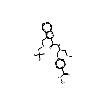 CCCC(NC(=O)c1oc2ccccc2c1COCC(F)(F)F)Oc1ccc(C(=O)NO)cc1